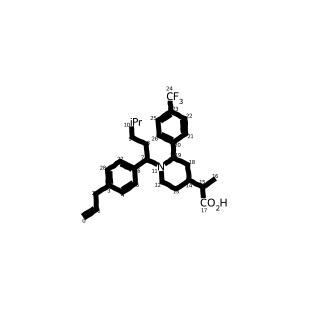 C=CCc1ccc(C(CCC(C)C)N2CCC(C(C)C(=O)O)CC2c2ccc(C(F)(F)F)cc2)cc1